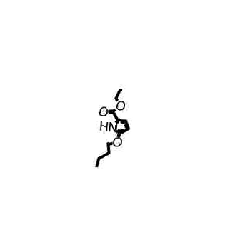 CCCCOc1ccc(C(=O)OCC)[nH]1